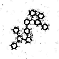 c1ccc(-c2ccc(N(c3cccc(-c4ccc5c(c4)oc4cccc(-c6nc(-c7ccccc7)nc(-c7ccccc7)n6)c45)c3)c3cccc4oc5ccccc5c34)cc2)cc1